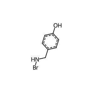 Oc1ccc(CNBr)cc1